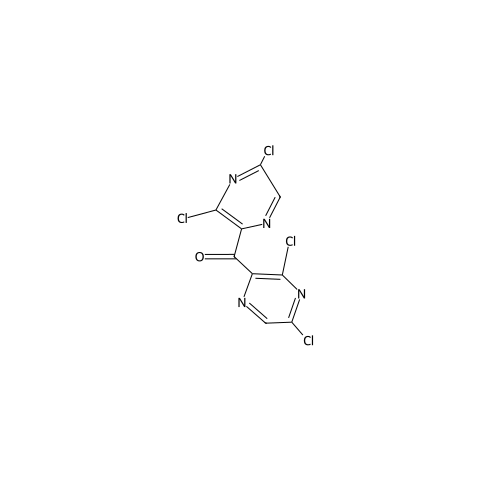 O=C(c1ncc(Cl)nc1Cl)c1ncc(Cl)nc1Cl